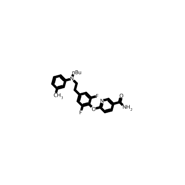 CCCCN(CCc1cc(F)c(Oc2ccc(C(N)=O)cn2)c(F)c1)c1cccc(C)c1